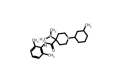 Cc1cccc(C)c1NC(=O)C1(N(C)C)CCN(C2CCCC(C)C2)CC1